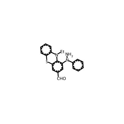 CCN1c2ccccc2Sc2cc(C=O)cc(N(N)c3ccccc3)c21